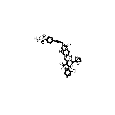 COC(=O)C1=C(CN2CCN3C(=O)N(CC#Cc4ccc(S(C)(=O)=O)cc4)C[C@@H]3C2)NC(c2nccs2)=N[C@H]1c1ccc(F)cc1Cl